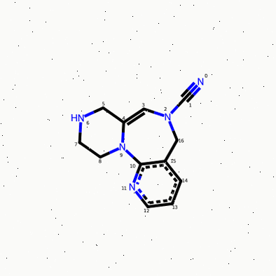 N#CN1C=C2CNCCN2c2ncccc2C1